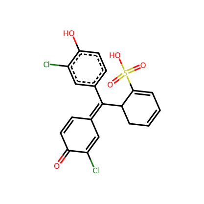 O=C1C=C/C(=C(\c2ccc(O)c(Cl)c2)C2CC=CC=C2S(=O)(=O)O)C=C1Cl